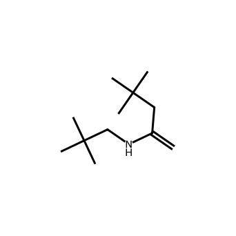 C=C(CC(C)(C)C)NCC(C)(C)C